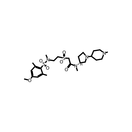 COc1cc(C)c(S(=O)(=O)N(C)CCS(=O)(=O)CC(=O)N(C)[C@@H]2CCN(C3CCN(C)CC3)C2)c(C)c1